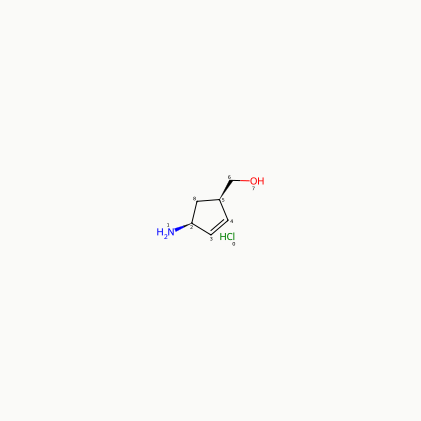 Cl.N[C@@H]1C=C[C@H](CO)C1